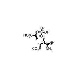 C=C(OP(=O)(O)O)C(=O)O.CN(CC(=O)O)C(=N)N